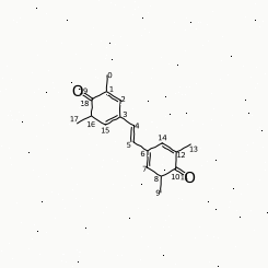 CC1=CC(C=CC2=CC(C)C(=O)C(C)=C2)=CC(C)C1=O